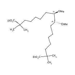 CCOC(=O)C(C)(C)CCCCC[C@@H](OC)[C@@H](CCCCCC(C)(C)C(=O)OCC)OC